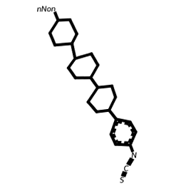 CCCCCCCCCC1CCC(C2CCC(C3CCC(c4ccc(N=C=S)cc4)CC3)CC2)CC1